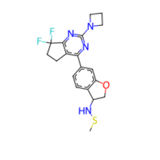 CSNC1COc2cc(-c3nc(N4CCC4)nc4c3CCC4(F)F)ccc21